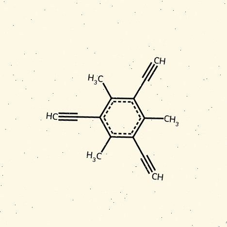 C#Cc1c(C)c(C#C)c(C)c(C#C)c1C